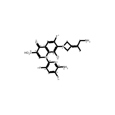 CC(CN)=C1CN(c2c(F)cc3c(=O)c(C(=O)O)cn(-c4nc(N)c(F)cc4F)c3c2Cl)C1